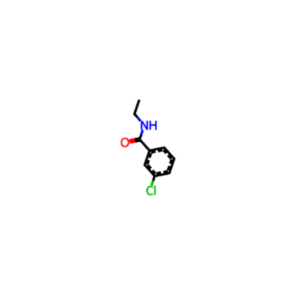 CCNC(=O)c1cccc(Cl)c1